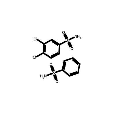 NS(=O)(=O)c1ccc(Cl)c(Cl)c1.NS(=O)(=O)c1ccccc1